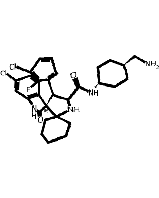 NC[C@H]1CC[C@H](NC(=O)C2NC3(CCCCC3)[C@@]3(C(=O)Nc4cc(Cl)ccc43)C2c2cccc(Cl)c2F)CC1